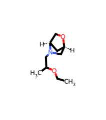 CCOC(C)CN1C[C@H]2C[C@@H]1CO2